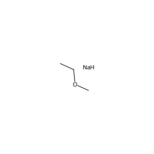 CCOC.[NaH]